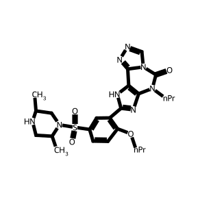 CCCOc1ccc(S(=O)(=O)N2CC(C)NCC2C)cc1-c1nc2c([nH]1)c1nncn1c(=O)n2CCC